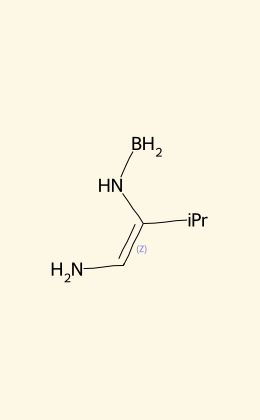 BN/C(=C\N)C(C)C